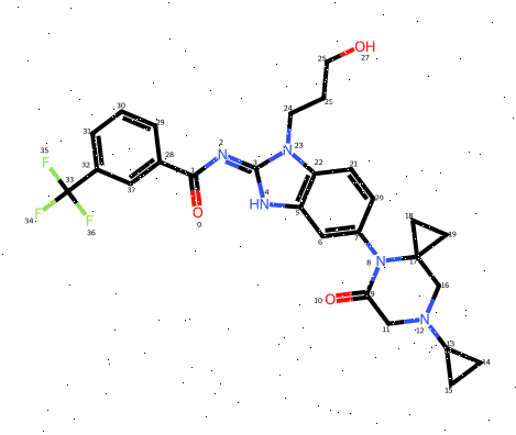 O=C(/N=c1\[nH]c2cc(N3C(=O)CN(C4CC4)CC34CC4)ccc2n1CCCO)c1cccc(C(F)(F)F)c1